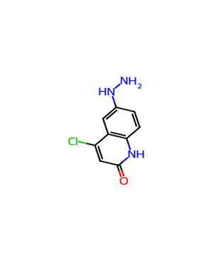 NNc1ccc2[nH]c(=O)cc(Cl)c2c1